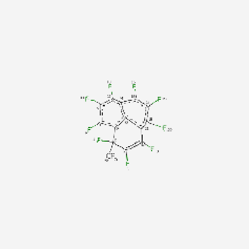 FC1=C(F)C(F)(C(F)(F)F)c2c(F)c(F)c(F)c3c(F)c(F)c(F)c1c23